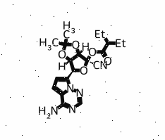 CCC(CC)C(=O)O[C@@]1(C#N)O[C@@H](c2ccc3c(N)ncnn23)[C@@H]2OC(C)(C)O[C@@H]21